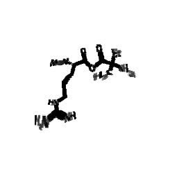 CCC(C)(N)C(=O)OC(=O)[C@H](CCCNC(=N)N)NC